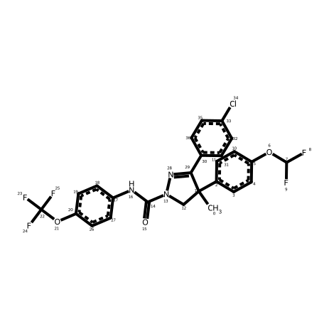 CC1(c2ccc(OC(F)F)cc2)CN(C(=O)Nc2ccc(OC(F)(F)F)cc2)N=C1c1ccc(Cl)cc1